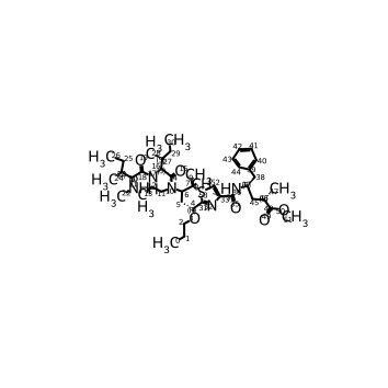 CCCO[C@H](CC(C(C)C)N(CCC)C(=O)[C@@H](NC(=O)[C@@H](NC)[C@@H](C)CC)[C@@H](C)CC)c1nc(C(=O)N[C@@H](Cc2ccccc2)C[C@H](C)C(=O)OC)cs1